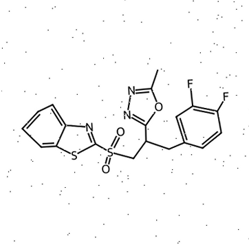 Cc1nnc(C(Cc2ccc(F)c(F)c2)CS(=O)(=O)c2nc3ccccc3s2)o1